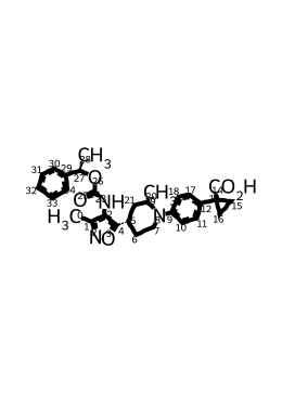 Cc1noc([C@H]2CCN(c3ccc(C4(C(=O)O)CC4)cc3)[C@@H](C)C2)c1NC(=O)O[C@H](C)c1ccccc1